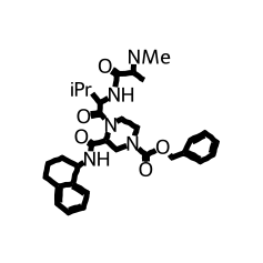 CNC(C)C(=O)NC(C(=O)N1CCN(C(=O)OCc2ccccc2)CC1C(=O)NC1CCCc2ccccc21)C(C)C